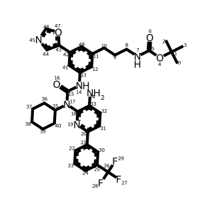 CC(C)(C)OC(=O)NCCCc1cc(NC(=O)N(c2nc(-c3cccc(C(F)(F)F)c3)ccc2N)C2CCCCC2)cc(-c2cnco2)c1